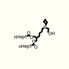 CCCCCCCC(=O)OCC(CCCCN(CCO)C1CCC1)COC(=O)CCCCCCC